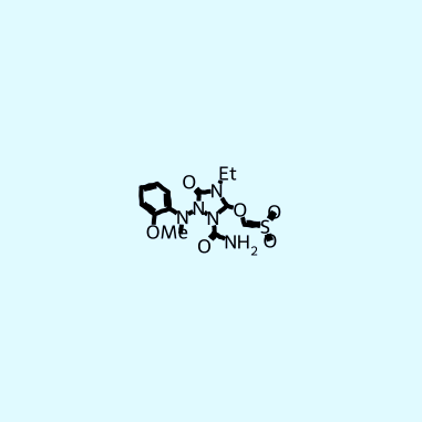 CCN1C(=O)N(N(C)c2ccccc2OC)N(C(N)=O)C1OC=S(=O)=O